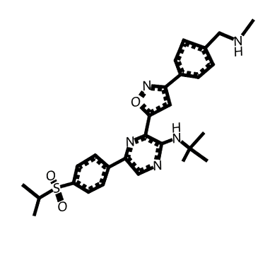 CNCc1ccc(-c2cc(-c3nc(-c4ccc(S(=O)(=O)C(C)C)cc4)cnc3NC(C)(C)C)on2)cc1